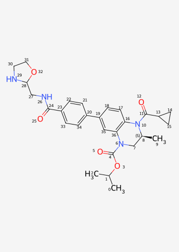 CC(C)OC(=O)N1C[C@H](C)N(C(=O)C2CC2)c2ccc(-c3ccc(C(=O)NCC4NCCO4)cc3)cc21